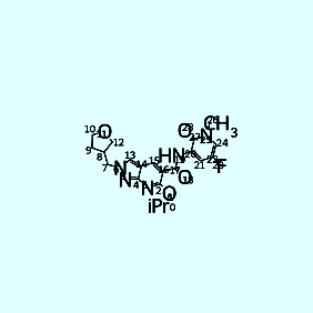 CC(C)Oc1nc2nn(CC3CCOC3)cc2cc1C(=O)Nc1cc(F)cn(C)c1=O